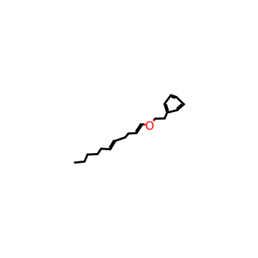 CCCCCC=CCCC=COCCc1ccccc1